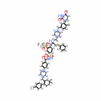 CC1(C)CCC(c2ccc(Cl)cc2)=C(CN2CCN(c3ccc(C(=O)NS(=O)(=O)c4ccc(N[C@H](CCN5CCN(Cc6ccc(F)c(N7CCC(=O)NC7=O)c6)CC5)CSc5ccccc5)c(S(=O)(=O)C(F)(F)F)c4)cc3)CC2)C1